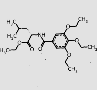 CCOC(=O)[C@H](CC(C)C)NC(=O)c1cc(OCC)c(OCC)c(OCC)c1